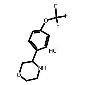 Cl.FC(F)(F)Oc1ccc(C2COCCN2)cc1